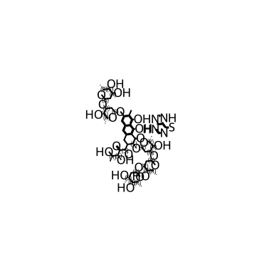 CO[C@H](C(=O)[C@@H](O)[C@@H](C)O)C1Cc2cc3cc(O[C@H]4C[C@@H](O[C@H]5C[C@@H](O)[C@H](O)[C@@H](C)O5)[C@@H](O)[C@@H](C)O4)c(C)c(O)c3c(O)c2C(=O)[C@H]1O[C@H]1C[C@@H](O[C@H]2C[C@@H](O[C@H]3C[C@](C)(O)[C@H](O)[C@@H](C)O3)[C@H](O)[C@@H](C)O2)[C@H](O)[C@@H](C)O1.S=c1nc[nH]c2nc[nH]c12